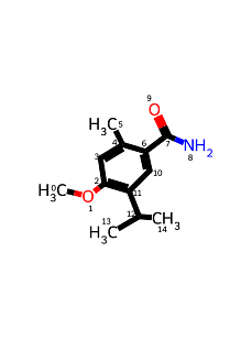 COc1cc(C)c(C(N)=O)cc1C(C)C